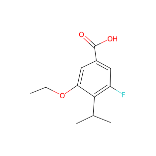 CCOc1cc(C(=O)O)cc(F)c1C(C)C